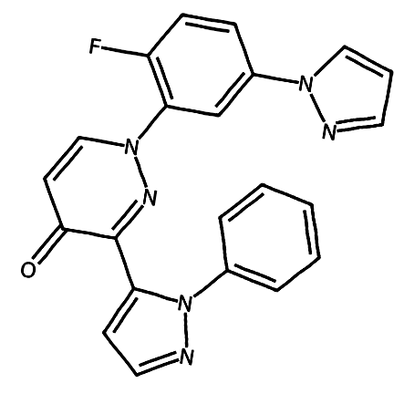 O=c1ccn(-c2cc(-n3cccn3)ccc2F)nc1-c1ccnn1-c1ccccc1